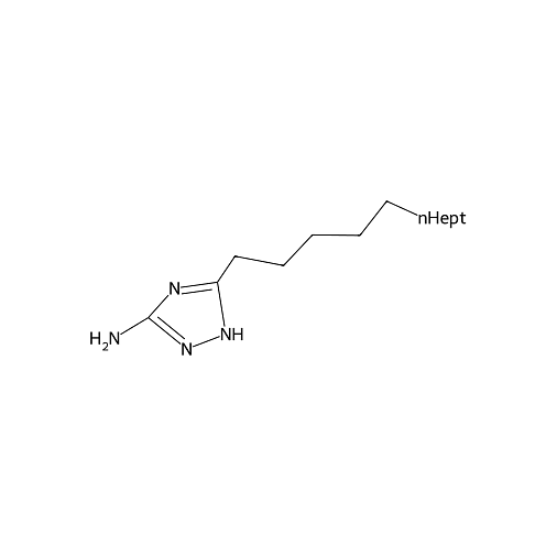 CCCCCCCCCCCCc1nc(N)n[nH]1